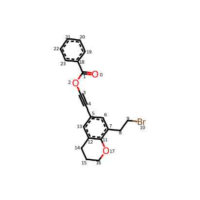 O=C(OC#Cc1cc(CCBr)c2c(c1)CCCO2)c1ccccc1